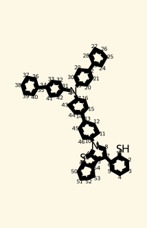 Sc1ccccc1-c1cn(-c2ccc(-c3ccc(N(c4ccc(-c5ccccc5)cc4)c4ccc(-c5ccccc5)cc4)cc3)cc2)c2sc3ccccc3c12